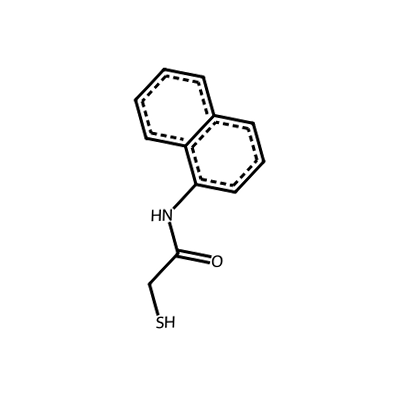 O=C(CS)Nc1cccc2ccccc12